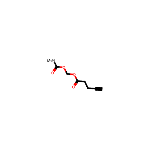 C#CCCC(=O)OCOC(=O)NC